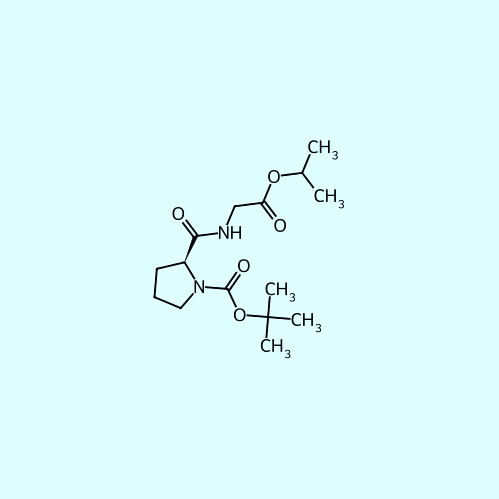 CC(C)OC(=O)CNC(=O)[C@@H]1CCCN1C(=O)OC(C)(C)C